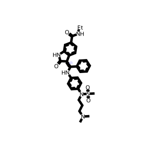 CCNC(=O)c1ccc2c(c1)NC(=O)/C2=C(\Nc1ccc(N(CCCN(C)C)S(C)(=O)=O)cc1)c1ccccc1